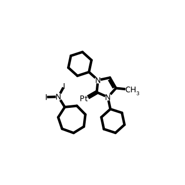 Cc1cn(C2CCCCC2)[c](=[Pt])n1C1CCCCC1.IN(I)C1CCCCCC1